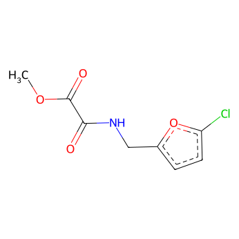 COC(=O)C(=O)NCc1ccc(Cl)o1